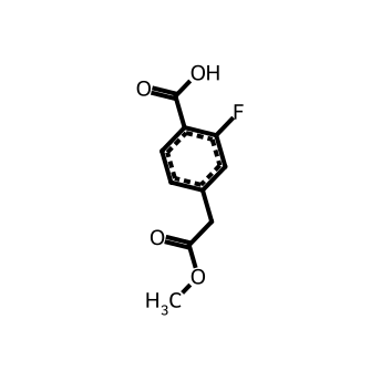 COC(=O)Cc1ccc(C(=O)O)c(F)c1